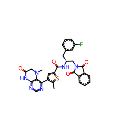 Cc1sc(C(=O)N[C@@H](Cc2cccc(F)c2)CN2C(=O)c3ccccc3C2=O)cc1-c1ncnc2c1N(C)CC(=O)N2